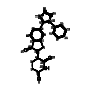 O=C1CCC(N2Cc3cc(-c4nnnn4-c4ccccc4)ccc3C2=O)C(=O)N1